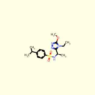 CCn1c(OC)nnc1[C@@H](C)NS(=O)(=O)c1ccc(C(C)C)cc1